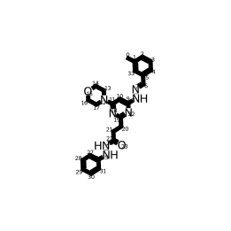 Cc1cccc(C=NNc2cc(N3CCOCC3)nc(CCC(=O)NNc3ccccc3)n2)c1